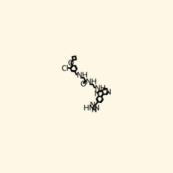 O=C(CCNCc1ccc(OC2CCC2)c(Cl)c1)NCCCNc1nc2cc(-c3nn[nH]n3)ccc2c2cnccc12